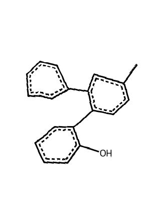 Cc1ccc(-c2ccccc2O)c(-c2ccccc2)c1